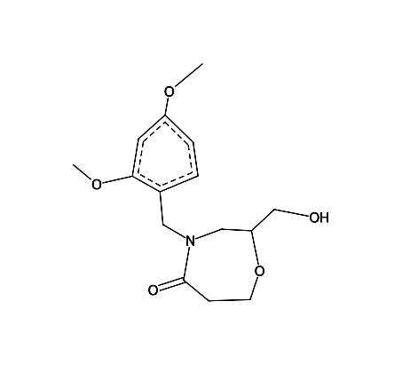 COc1ccc(CN2CC(CO)OCCC2=O)c(OC)c1